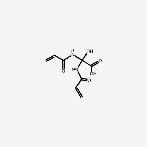 C=CC(=O)NC(O)(NC(=O)C=C)C(=O)O